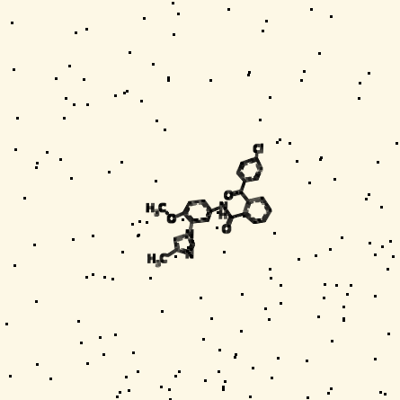 COc1ccc(NC(=O)c2ccccc2C(=O)c2ccc(Cl)cc2)cc1-n1cnc(C)c1